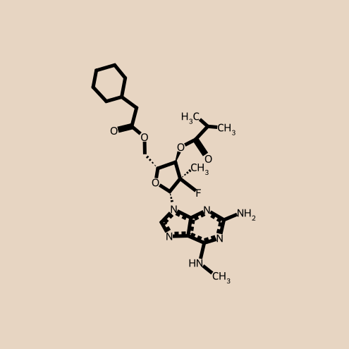 CNc1nc(N)nc2c1ncn2[C@@H]1O[C@H](COC(=O)CC2CCCCC2)[C@@H](OC(=O)C(C)C)[C@@]1(C)F